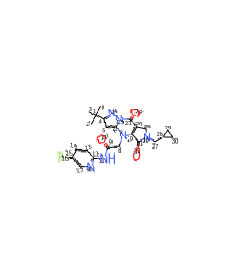 CC(C)(C)c1cc2n(CC(=O)Nc3ccc(F)cn3)c3c(c(=O)n2n1)CN(CC1CC1)C3=O